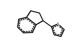 c1csc(C2CCc3ccccc32)c1